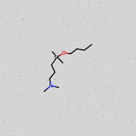 CCCCO[Si](C)(C)CCCN(C)C